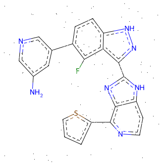 Nc1cncc(-c2ccc3[nH]nc(-c4nc5c(-c6cccs6)nccc5[nH]4)c3c2F)c1